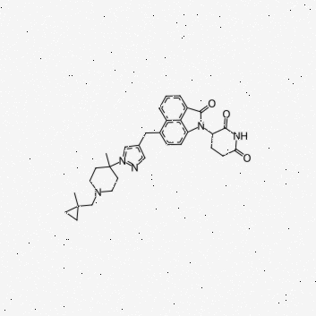 CC1(CN2CCC(C)(n3cc(Cc4ccc5c6c(cccc46)C(=O)N5C4CCC(=O)NC4=O)cn3)CC2)CC1